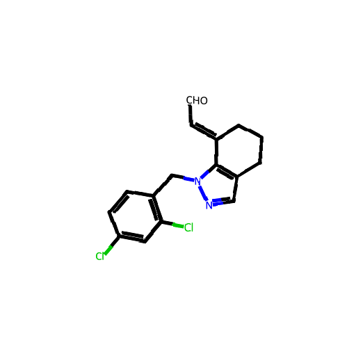 O=C/C=C1\CCCc2cnn(Cc3ccc(Cl)cc3Cl)c21